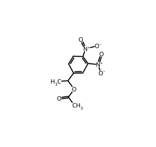 CC(=O)OC(C)c1ccc([N+](=O)[O-])c([N+](=O)[O-])c1